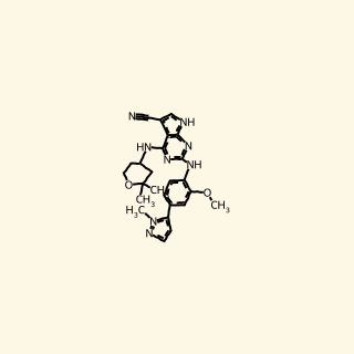 COc1cc(-c2ccnn2C)ccc1Nc1nc(NC2CCOC(C)(C)C2)c2c(C#N)c[nH]c2n1